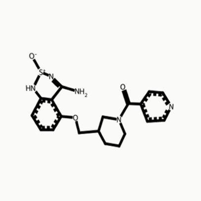 NC1=N[S+]([O-])Nc2cccc(OCC3CCCN(C(=O)c4ccncc4)C3)c21